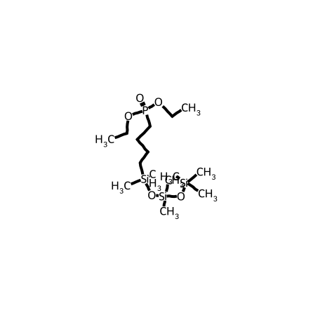 CCOP(=O)(CCCC[Si](C)(C)O[Si](C)(C)O[Si](C)(C)C)OCC